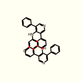 Clc1cc(Nc2c(-c3ccccc3)cncc2-c2ccccc2)cc(Nc2c(-c3ccccc3)cncc2-c2ccccc2)c1